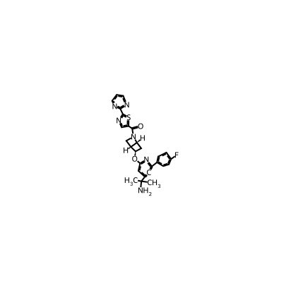 CC(C)(N)c1cc(O[C@@H]2C[C@@H]3[C@H]2CN3C(=O)c2cnc(-c3ncccn3)s2)nc(-c2ccc(F)cc2)c1